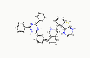 c1ccc(-c2nc(-c3ccccc3)nc(-c3cccc(-c4cccc5cc(-c6cccc7sc8nccnc8c67)ncc45)c3)n2)cc1